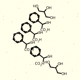 O=C(O)C(S)c1ccccc1.O=C(O)C(S)c1ccccc1.O=C(O)C(S)c1ccccc1.O=C(O)C(S)c1ccccc1.OCC(O)CO.OCC(O)CO